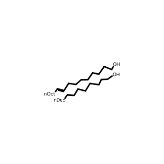 CCCCCCCCC=CCCCCCCCCO.CCCCCCCCCCCCCCCCCCO